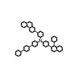 c1ccc(-c2ccc(-c3ccc(N(c4ccc(-c5ccc6ccccc6c5-c5ccccc5)cc4)c4cccc(-c5ccc6c(ccc7ccccc76)c5)c4)cc3)cc2)cc1